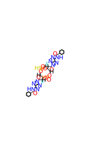 O=C(Nc1ncnc2c1ncn2[C@@H]1O[C@@H]2CO[P@@](=O)(S)O[C@H]3[C@@H](F)[C@H](n4cnc5c(NC(=O)c6ccccc6)ncnc54)O[C@@H]3CO[PH](=O)O[C@H]2[C@H]1F)c1ccccc1